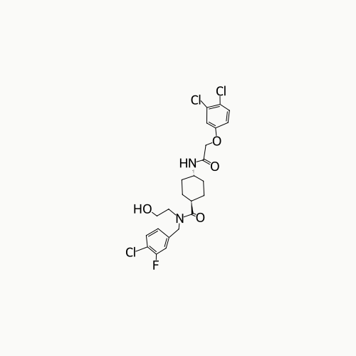 O=C(COc1ccc(Cl)c(Cl)c1)N[C@H]1CC[C@H](C(=O)N(CCO)Cc2ccc(Cl)c(F)c2)CC1